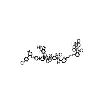 CC1(C)CCC(CN2CCN(c3ccc(C(=O)NS(=O)(=O)c4ccc(NCC5CCCN(CCCCCc6cccc7c6C(=O)N(C6CCC(=O)NC6=O)C7=O)C5)c([N+](=O)[O-])c4)c(Oc4cnc5[nH]ccc5c4)c3)CC2)=C(c2ccc(Cl)cc2)C1